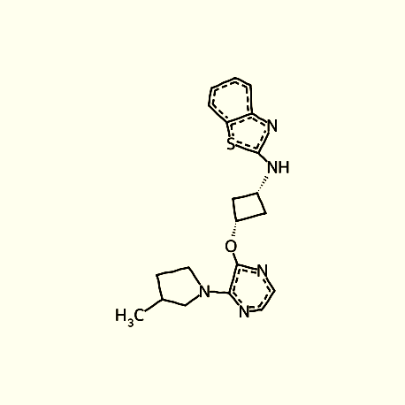 CC1CCN(c2nccnc2O[C@H]2C[C@@H](Nc3nc4ccccc4s3)C2)C1